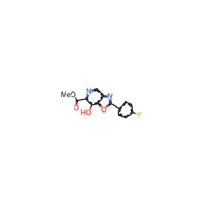 COC(=O)c1ncc2nc(-c3ccc(F)cc3)oc2c1O